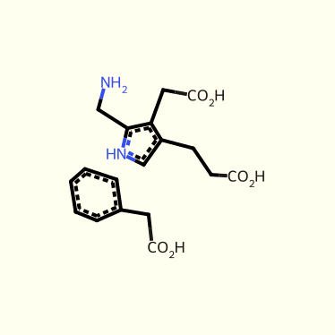 NCc1[nH]cc(CCC(=O)O)c1CC(=O)O.O=C(O)Cc1ccccc1